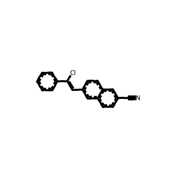 N#Cc1ccc2cc(C=C(Cl)c3ccccc3)ccc2c1